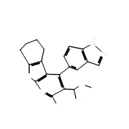 CCOC(C(=O)O)c1c(C)nc2sc3c(c2c1-c1ccc2[nH]ncc2c1)CCCC3